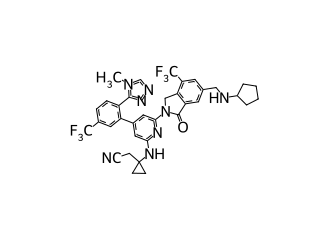 Cn1cnnc1-c1ccc(C(F)(F)F)cc1-c1cc(NC2(CC#N)CC2)nc(N2Cc3c(cc(CNC4CCCC4)cc3C(F)(F)F)C2=O)c1